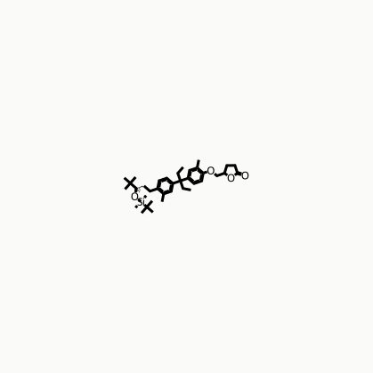 CCC(CC)(c1ccc(CC[C@H](O[Si](C)(C)C(C)(C)C)C(C)(C)C)c(C)c1)c1ccc(OCC2CCC(=O)O2)c(C)c1